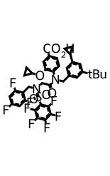 CC(C)(C)c1cc(CN(C(=O)CN(Cc2c(F)cc(F)cc2F)S(=O)(=O)c2c(F)c(F)c(F)c(F)c2F)c2ccc(C(=O)O)cc2OC2CC2)cc(C2CC2)c1